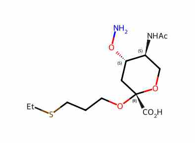 CCSCCCO[C@]1(C(=O)O)C[C@H](ON)[C@@H](NC(C)=O)CO1